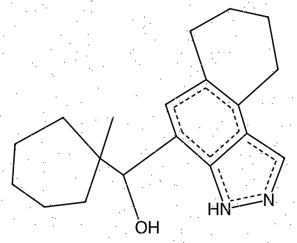 CC1(C(O)c2cc3c(c4cn[nH]c24)CCCC3)CCCCC1